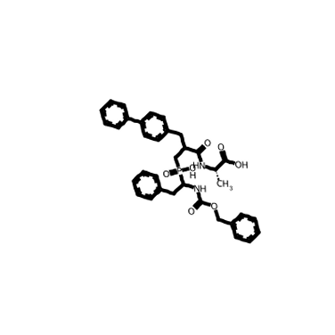 C[C@H](NC(=O)C(Cc1ccc(-c2ccccc2)cc1)CP(=O)(O)C(Cc1ccccc1)NC(=O)OCc1ccccc1)C(=O)O